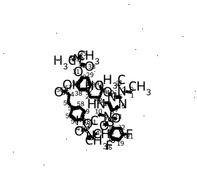 CCN(CC)c1ncc(N(CC)S(=O)(=O)c2cc(F)cc(F)c2)c(NC(Cc2ccc(OC(=O)N(C)C)cc2)C(=O)O)n1.CN(C)C(=O)Oc1ccc(CCC(=O)O)cc1